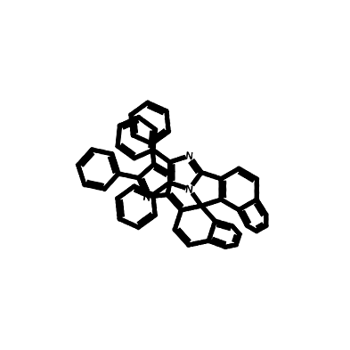 C1=Cc2ccccc2C2(C1=C1N=C(c3ccccc3)C(c3ccccc3)=N1)c1c(ccc3ccccc13)-c1nc(-c3ccccc3)c(-c3ccccc3)n12